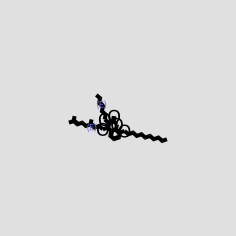 CC/C=C/CCOc1c(OC/C=C(\C)CCC=C(C)C)c2cccc(OCCCCCCCCCC)c2oc1=O